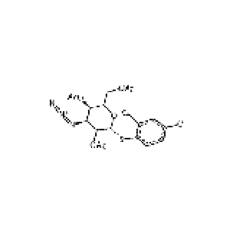 CC(=O)OCC1O[C@H](Sc2ccc(Cl)cc2Cl)C(OC(C)=O)[C@@H](N=[N+]=[N-])[C@H]1OC(C)=O